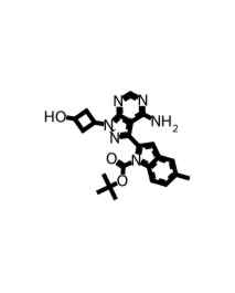 Cc1ccc2c(c1)cc(-c1nn(C3CC(O)C3)c3ncnc(N)c13)n2C(=O)OC(C)(C)C